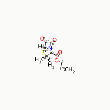 C=CCOC(=O)[C@@H]1N2C(=O)C(=O)[C@H]2SC1(C)C